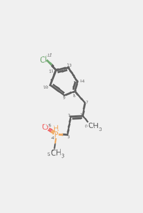 CC(=CC[PH](C)=O)Cc1ccc(Cl)cc1